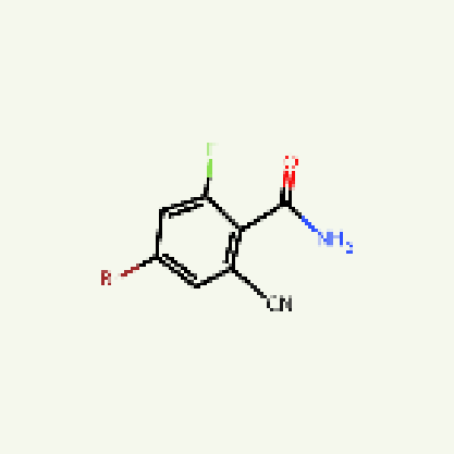 N#Cc1cc(Br)cc(F)c1C(N)=O